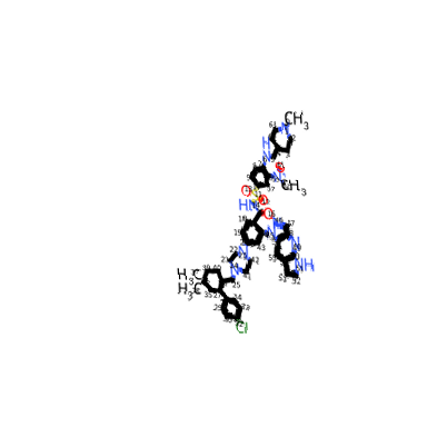 CN1CCC(CNc2ccc(S(=O)(=O)NC(=O)c3ccc(N4CCN(CC5=C(c6ccc(Cl)cc6)CC(C)(C)CC5)CC4)cc3-n3ncc4nc5[nH]ccc5cc43)cc2[N+](C)=O)CC1